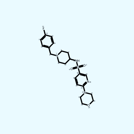 O=S(=O)(NC1CCN(Cc2ccc(F)cc2)CC1)c1ccc(N2CCOCC2)nc1